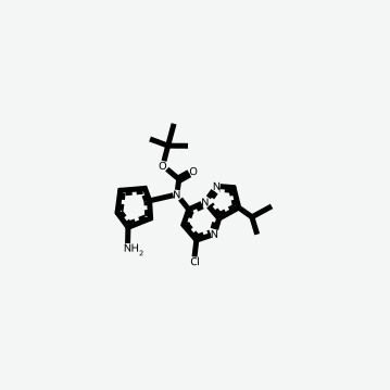 CC(C)c1cnn2c(N(C(=O)OC(C)(C)C)c3cccc(N)c3)cc(Cl)nc12